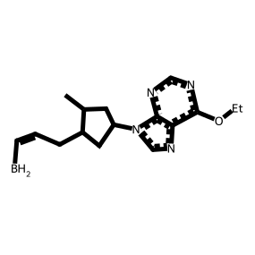 B/C=C\CC1CC(n2cnc3c(OCC)ncnc32)CC1C